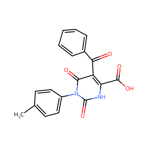 Cc1ccc(-n2c(=O)[nH]c(C(=O)O)c(C(=O)c3ccccc3)c2=O)cc1